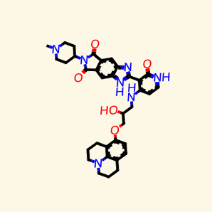 CN1CCC(N2C(=O)c3cc4nc(-c5c(NCC(O)COc6ccc7c8c6CCCN8CCC7)cc[nH]c5=O)[nH]c4cc3C2=O)CC1